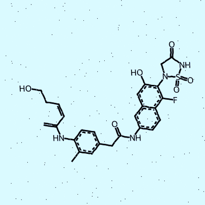 C=C(/C=C\CCO)Nc1ccc(CC(=O)Nc2ccc3c(F)c(N4CC(=O)NS4(=O)=O)c(O)cc3c2)cc1C